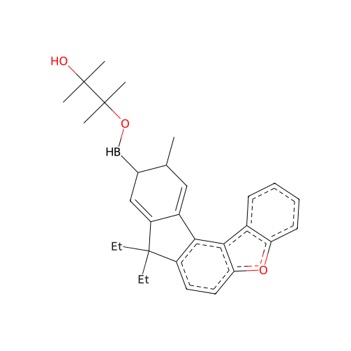 CCC1(CC)C2=CC(BOC(C)(C)C(C)(C)O)C(C)C=C2c2c1ccc1oc3ccccc3c21